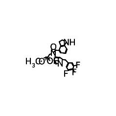 COC[C@H](O)CN(C(=O)c1cccc2c1CCN2)c1ccnc(Cc2cc(F)c(F)c(F)c2)c1